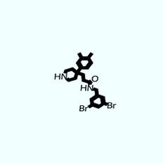 Cc1ccc(C2(CCC(=O)NCc3cc(Br)cc(Br)c3)CCNCC2)cc1C